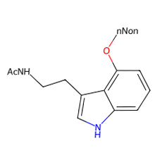 CCCCCCCCCOc1cccc2[nH]cc(CCNC(C)=O)c12